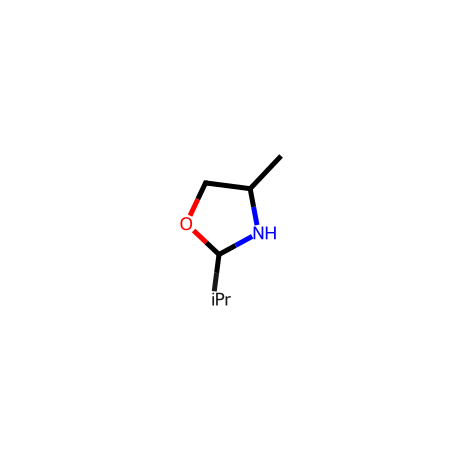 CC1COC(C(C)C)N1